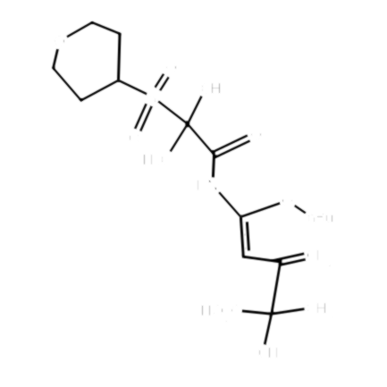 C=C(/C=C(/NC(=O)C(C)(C)S(=O)(=O)C1CCOCC1)OCCCC)C(C)(C)C(=O)O